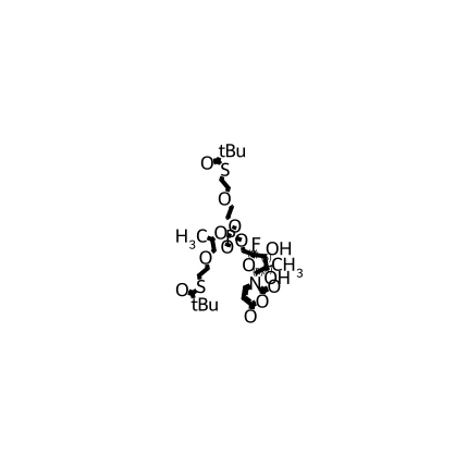 CC(COCCSC(=O)C(C)(C)C)OP(=O)(OCCOCCSC(=O)C(C)(C)C)OC[C@@]1(F)O[C@@H](n2ccc(=O)oc2=O)[C@](C)(O)[C@@H]1O